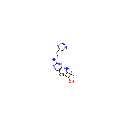 CC1(C)[C@@H](O)C[C@H]1Nc1nc(NCCc2cnccn2)ncc1C#N